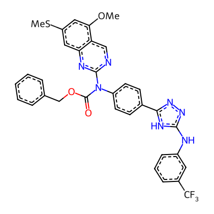 COc1cc(SC)cc2nc(N(C(=O)OCc3ccccc3)c3ccc(-c4nnc(Nc5cccc(C(F)(F)F)c5)[nH]4)cc3)ncc12